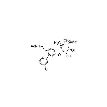 CO[C@@H]1[C@@H](O)[C@@H](O)[C@H](Oc2ccc(CCNC(C)=O)c(-c3cccc(Cl)c3)c2)OC1(C)C